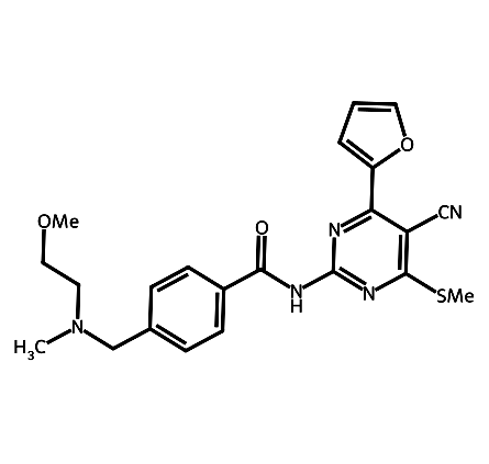 COCCN(C)Cc1ccc(C(=O)Nc2nc(SC)c(C#N)c(-c3ccco3)n2)cc1